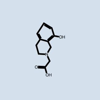 O=C(O)CN1CCc2cccc(O)c2C1